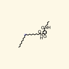 CCCCCCCC/C=C\CCCCCCCC(=O)Nc1cc(C(=O)NCCCC)ccc1OC